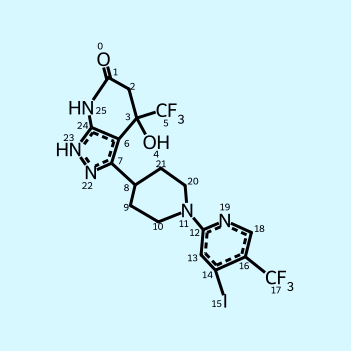 O=C1CC(O)(C(F)(F)F)c2c(C3CCN(c4cc(I)c(C(F)(F)F)cn4)CC3)n[nH]c2N1